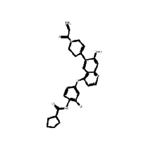 C=CC(=O)N1CC=C(c2cc3c(Oc4ccc(NC(=O)C5CCCC5)c(Cl)c4)ccnc3cc2OC)CC1